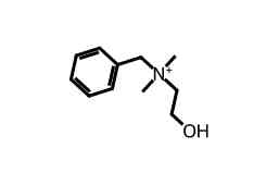 C[N+](C)(CCO)Cc1ccccc1